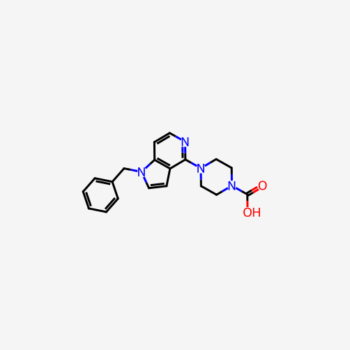 O=C(O)N1CCN(c2nccc3c2ccn3Cc2ccccc2)CC1